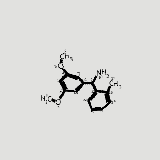 COc1cc(OC)cc(C(N)c2ccccc2C)c1